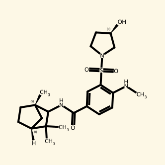 CNc1ccc(C(=O)NC2C(C)(C)[C@@H]3CC[C@@]2(C)C3)cc1S(=O)(=O)N1CC[C@@H](O)C1